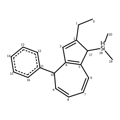 CCC1=CC2=C(C=CC=CC2c2ccccc2)C1[SiH](C)C